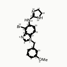 COc1cccc(Cn2cnc3c(Br)c(NC4=NCCN4)ccc32)c1